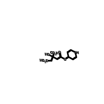 O=C(O)CC(O)(CC(=O)OC1CCNCC1)C(=O)O